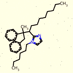 CCCCCCCCC(c1nccn1CCCCCC)C(C)(Cc1ccccc1)c1ccccc1